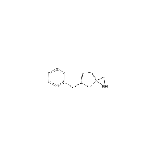 c1ccc(CC2CCC3(CN3)C2)cc1